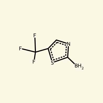 Bc1ncc(C(F)(F)F)s1